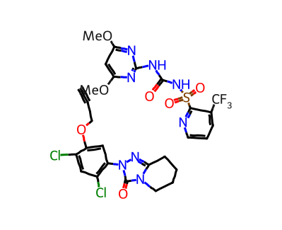 C#CCOc1cc(-n2nc3n(c2=O)CCCC3)c(Cl)cc1Cl.COc1cc(OC)nc(NC(=O)NS(=O)(=O)c2ncccc2C(F)(F)F)n1